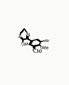 COc1nccnc1-c1cc(C=O)c(OC)c(C(C)(C)C)c1